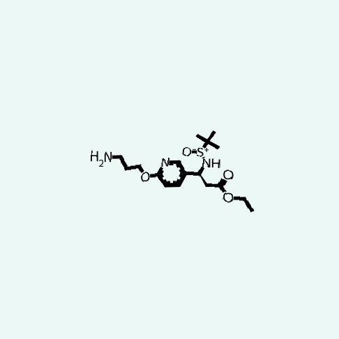 CCOC(=O)C[C@H](N[S+]([O-])C(C)(C)C)c1ccc(OCCCN)nc1